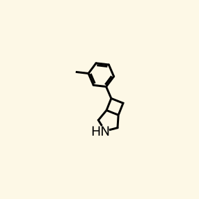 Cc1cccc(C2CC3CNCC32)c1